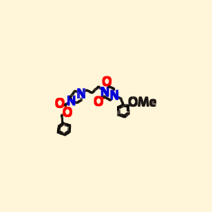 COc1ccccc1CN1CC(=O)N(CCCN2CCN(C(=O)OCc3ccccc3)CC2)C(=O)C1